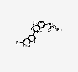 CC/C(=C/c1cc(C(=O)Nc2cc(NC(=O)OC(C)(C)C)ccc2C)cnc1C)C(C)CC